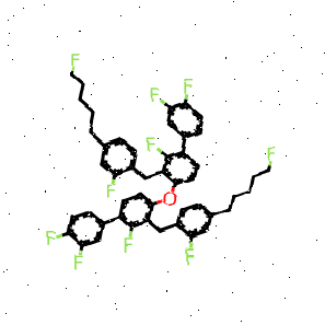 FCCCCCc1ccc(Cc2c(Oc3ccc(-c4ccc(F)c(F)c4)c(F)c3Cc3ccc(CCCCCF)cc3F)ccc(-c3ccc(F)c(F)c3)c2F)c(F)c1